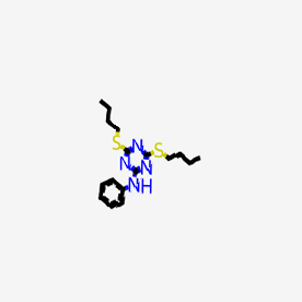 CCCCSc1nc(Nc2ccccc2)nc(SCCCC)n1